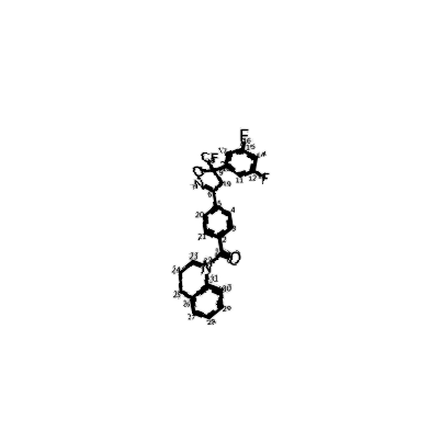 O=C(c1ccc(C2=NOC(c3cc(F)cc(F)c3)(C(F)(F)F)C2)cc1)N1CCCc2ccccc21